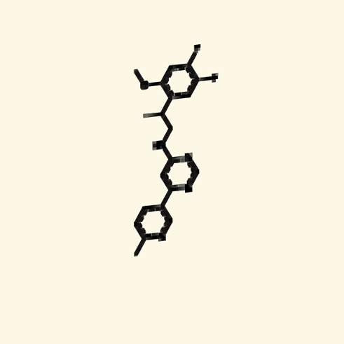 COc1cc(F)c(F)cc1C(C)CNc1cc(-c2ccc(C)nc2)ncn1